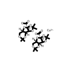 CC1(C)OC[C@@H]2O[C@@]3(C(=O)[O-])OC(C)(C)O[C@H]3[C@@H]2O1.CC1(C)OC[C@@H]2O[C@@]3(C(=O)[O-])OC(C)(C)O[C@H]3[C@@H]2O1.[Cu+2]